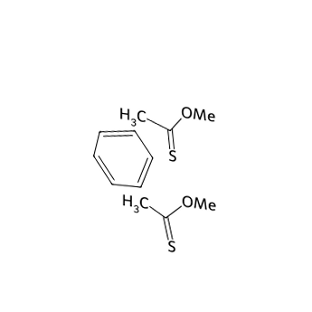 COC(C)=S.COC(C)=S.c1ccccc1